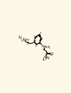 NCc1cccc(NCC(=O)O)c1